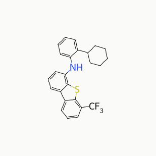 FC(F)(F)c1cccc2c1sc1c(Nc3ccccc3C3CCCCC3)cccc12